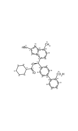 CCCCc1cn2c([C@H](OC(=O)C3CCCCC3)c3ccc(-c4ccccc4C(=O)O)cc3)ccc(C)c2n1